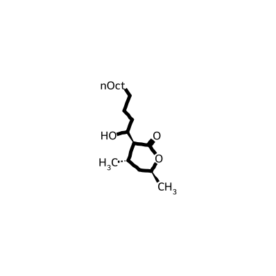 CCCCCCCCCCCC(O)[C@H]1C(=O)O[C@@H](C)C[C@@H]1C